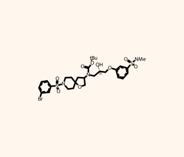 CNS(=O)(=O)c1cccc(OC[C@@H](O)CN(C(=O)OC(C)(C)C)C2COC3(CCN(S(=O)(=O)c4cccc(Br)c4)CC3)C2)c1